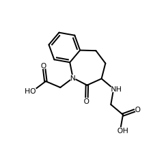 O=C(O)CNC1CCc2ccccc2N(CC(=O)O)C1=O